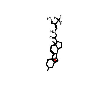 CC1CCC23COC(CC4C2=CCC2(C)C(C(=O)CN/C=C(\C=N)C(F)(F)F)CCC42)C3C1